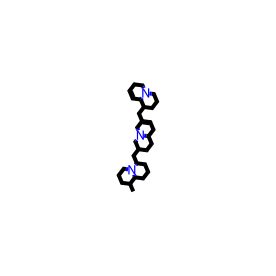 CC1CCCN2C(CC3CCC4CC=C(CC5CCCN6CCC=CC56)CN4C3)CCCC12